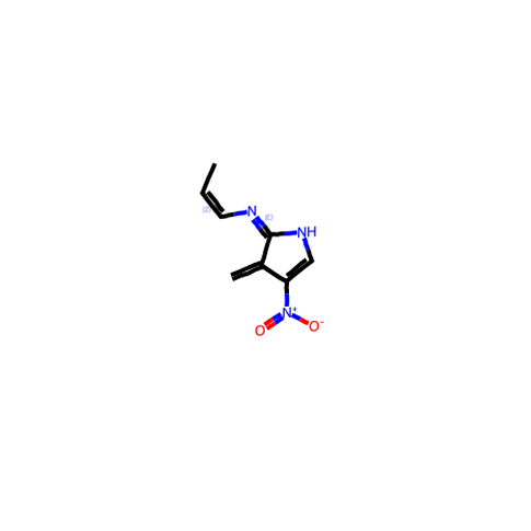 C=C1C([N+](=O)[O-])=CN/C1=N/C=C\C